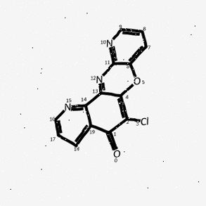 O=c1c(Cl)c2oc3cccnc3nc-2c2ncccc12